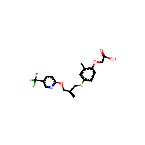 C=C(COc1ccc(C(F)(F)F)cn1)CSc1ccc(OCC(=O)O)c(C)c1